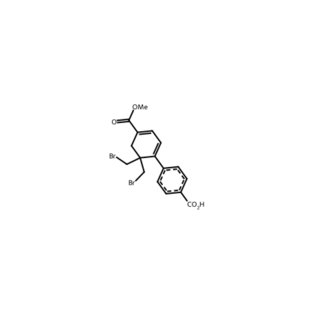 COC(=O)C1=CC=C(c2ccc(C(=O)O)cc2)C(CBr)(CBr)C1